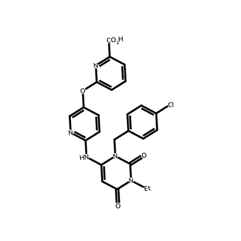 CCn1c(=O)cc(Nc2ccc(Oc3cccc(C(=O)O)n3)cn2)n(Cc2ccc(Cl)cc2)c1=O